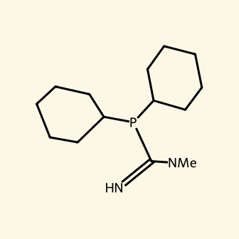 CNC(=N)P(C1CCCCC1)C1CCCCC1